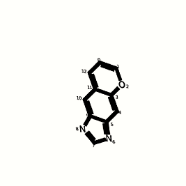 c1coc2cc3ncnc3cc2c1